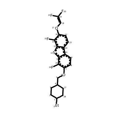 CCC1CCC(COc2ccc3c(sc4c(F)c(OC=C(F)F)ccc43)c2F)CC1